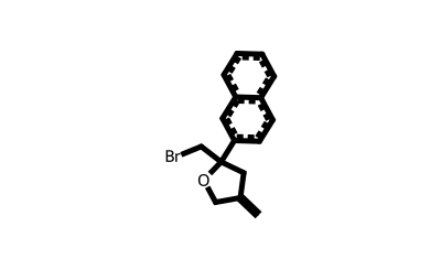 C=C1COC(CBr)(c2ccc3ccccc3c2)C1